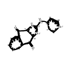 O=C1c2ccccc2C(=O)c2sc(Nc3ccncc3)nc21